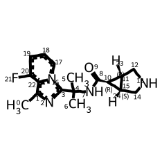 Cc1nc(C(C)(C)NC(=O)[C@H]2[C@@H]3CNC[C@@H]32)n2cccc(F)c12